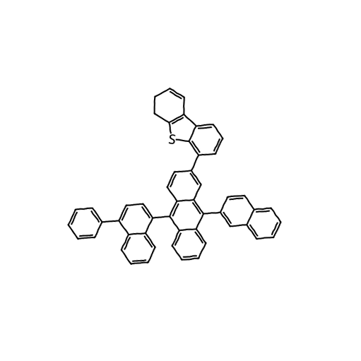 C1=Cc2c(sc3c(-c4ccc5c(-c6ccc(-c7ccccc7)c7ccccc67)c6ccccc6c(-c6ccc7ccccc7c6)c5c4)cccc23)CC1